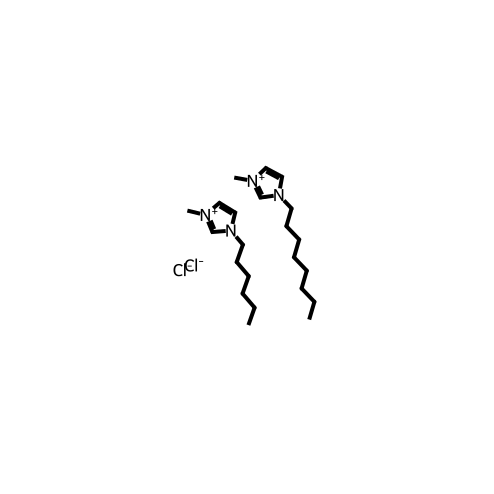 CCCCCCCCn1cc[n+](C)c1.CCCCCCn1cc[n+](C)c1.[Cl-].[Cl-]